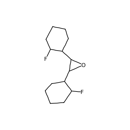 FC1CCCCC1C1OC1C1CCCCC1F